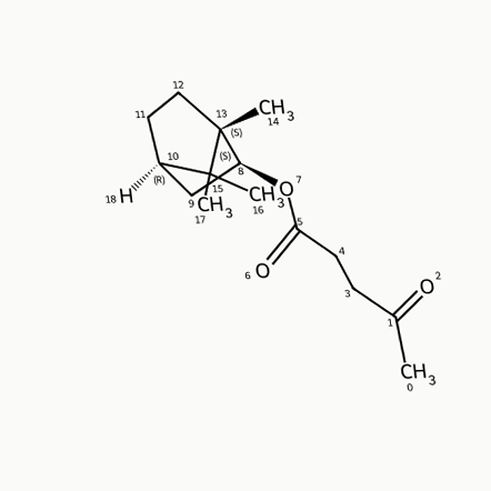 CC(=O)CCC(=O)O[C@H]1C[C@H]2CC[C@@]1(C)C2(C)C